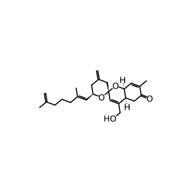 C=C(C)CCC/C(C)=C/[C@H]1CC(=C)C[C@@]2(C=C(CO)[C@@H]3CC(=O)C(C)=C[C@@H]3O2)O1